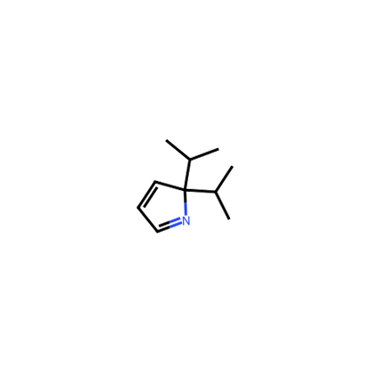 CC(C)C1(C(C)C)C=CC=N1